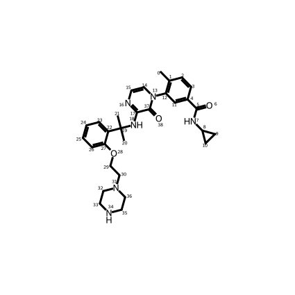 Cc1ccc(C(=O)NC2CC2)cc1-n1ccnc(NC(C)(C)c2ccccc2OCCN2CCNCC2)c1=O